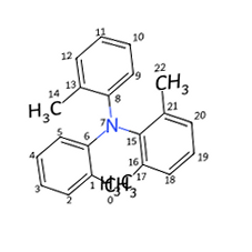 Cc1ccccc1N(c1ccccc1C)c1c(C)cccc1C